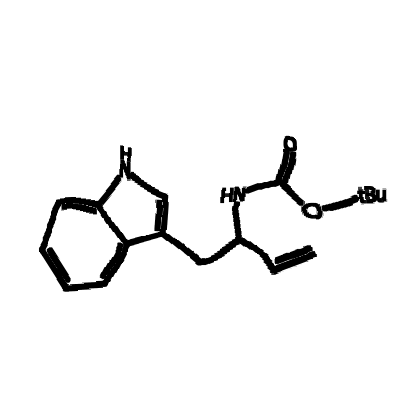 C=CC(Cc1c[nH]c2ccccc12)NC(=O)OC(C)(C)C